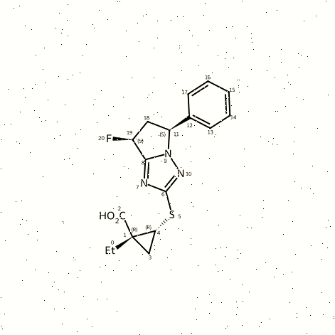 CC[C@]1(C(=O)O)C[C@H]1Sc1nc2n(n1)[C@H](c1ccccc1)C[C@@H]2F